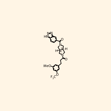 COc1cc(CCC(=O)N2C[C@@H]3CN(C(=O)c4ccc5[nH]nnc5c4)C[C@H]3C2)cc(OC(F)(F)F)c1